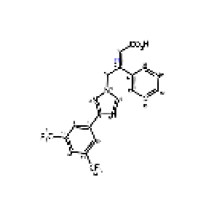 O=C(O)/C=C(/Cn1cnc(-c2cc(C(F)(F)F)cc(C(F)(F)F)c2)n1)c1cncnc1